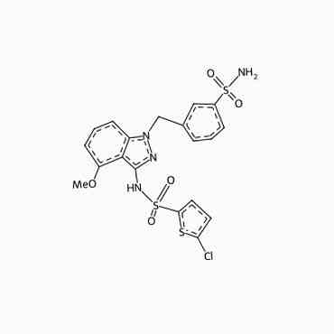 COc1cccc2c1c(NS(=O)(=O)c1ccc(Cl)s1)nn2Cc1cccc(S(N)(=O)=O)c1